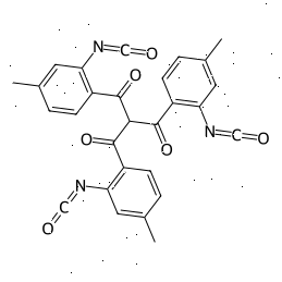 Cc1ccc(C(=O)C(C(=O)c2ccc(C)cc2N=C=O)C(=O)c2ccc(C)cc2N=C=O)c(N=C=O)c1